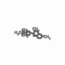 Cc1ccc2nc(-c3ccc([Si](C)(C)C)cc3)c(C)cc2c1